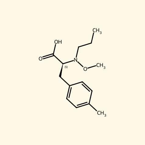 CCCN(OC)[C@@H](Cc1ccc(C)cc1)C(=O)O